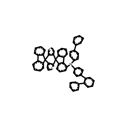 c1ccc(-c2ccc(N(c3ccc(-c4ccccc4-c4ccccc4)cc3)c3cccc4c3-c3ccccc3C43c4ccccc4C4(c5ccccc5-c5ccccc54)c4ccccc43)cc2)cc1